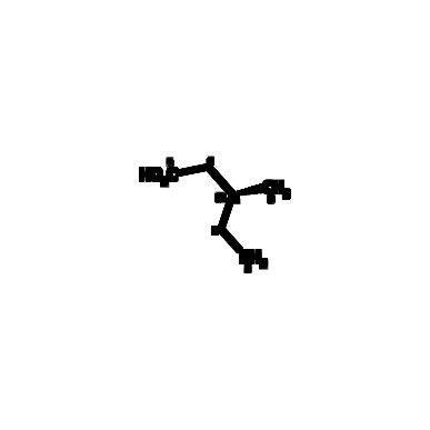 C[C@H](CN)CC(=O)O